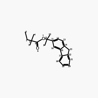 CCC(C)(C)C(=O)OC(C)(C)c1ccc2c(c1)-c1ccccc1C2